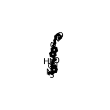 O=C(Nc1nc2ccc3scnc3c2o1)c1ccc2cc(OCCN3CCOCC3)ccc2c1